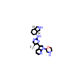 FC(F)(F)c1cnc(N[C@@H]2CCC[C@@H]3CNC[C@@H]32)nc1-c1cn(C2CNCCO2)c2ncccc12